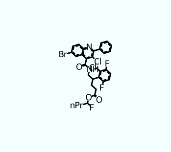 CCCC(F)OC(=O)CCC(CNC(=O)c1c(Cl)c(-c2ccccc2)nc2ccc(Br)cc12)c1c(F)ccc(F)c1Cl